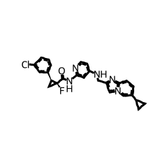 O=C(Nc1cc(NCc2cn3cc(C4CC4)ccc3n2)ccn1)[C@]1(F)C[C@H]1c1cccc(Cl)c1